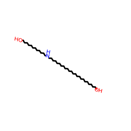 OCCCCCCCCCCCCCCCCCCCCCCCCNCCCCCCCCCCCCO